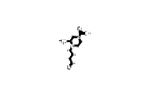 C[C@H]1CN(C(=O)O)CCN1CCCC=O